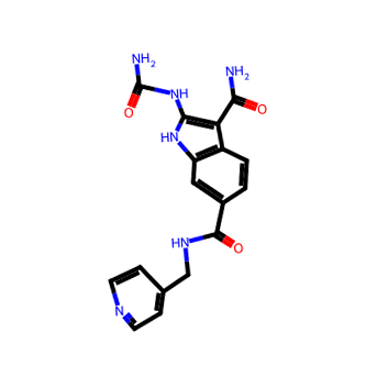 NC(=O)Nc1[nH]c2cc(C(=O)NCc3ccncc3)ccc2c1C(N)=O